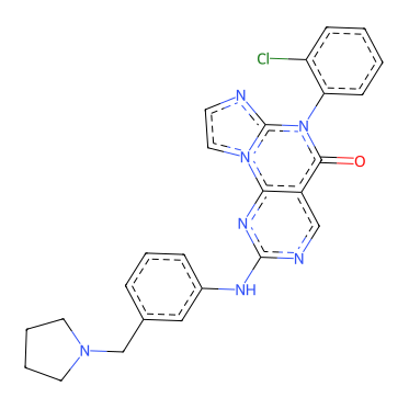 O=c1c2cnc(Nc3cccc(CN4CCCC4)c3)nc2n2ccnc2n1-c1ccccc1Cl